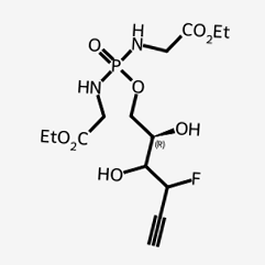 C#CC(F)C(O)[C@H](O)COP(=O)(NCC(=O)OCC)NCC(=O)OCC